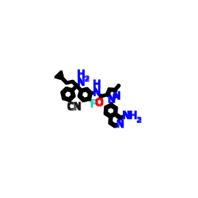 Cc1cc(C(=O)Nc2cc(C(N)(CCC3CC3)c3cccc(C#N)c3)ccc2F)n(-c2ccc3ccnc(N)c3c2)n1